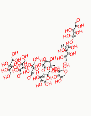 C[C@H](O)[C@H](O)[C@@H](O)[C@@H](O)C=O.O=C[C@H](O)[C@@H](O)[C@@H](O)CO.O=C[C@H](O)[C@@H](O)[C@H](O)[C@H](O)CO.O=C[C@H](O)[C@H](O)[C@H](O)CO.OC1OC[C@@H](O)[C@H](O)[C@H]1O.OC[C@@H](O)[C@@H](O)[C@H](O)[C@H](O)CO.OC[C@H]1O[C@@H](O[C@H]2[C@H](O)[C@@H](O)[C@H](O)O[C@@H]2CO)[C@H](O)[C@@H](O)[C@@H]1O